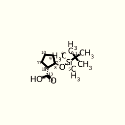 CC(C)(C)[Si](C)(C)O[C@H]1CCC[C@H]1C(=O)O